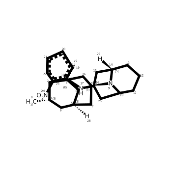 C[C@@H]1C[C@@H]2C[C@H](C1)C[C@H](N1C3CCC[C@H]1CC(Nc1ccccc1[N+](=O)[O-])C3)C2